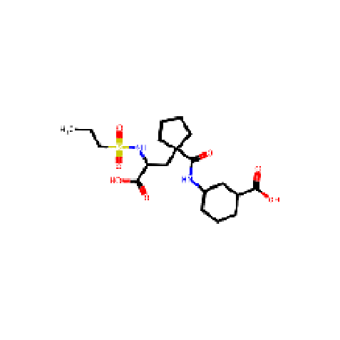 CCCS(=O)(=O)NC(CC1(C(=O)NC2CCCC(C(=O)O)C2)CCCC1)C(=O)O